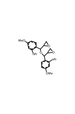 CCCc1cc(OC)ccc1C(OC(c1ccc(OC)cc1CCC)C1CO1)C1CO1